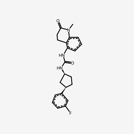 CN1C(=O)CCc2c(NC(=O)N[C@H]3CC[C@@H](c4cccc(F)c4)C3)cccc21